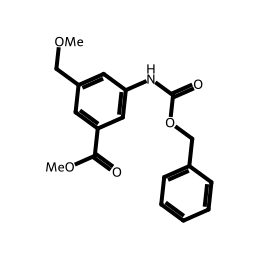 COCc1cc(NC(=O)OCc2ccccc2)cc(C(=O)OC)c1